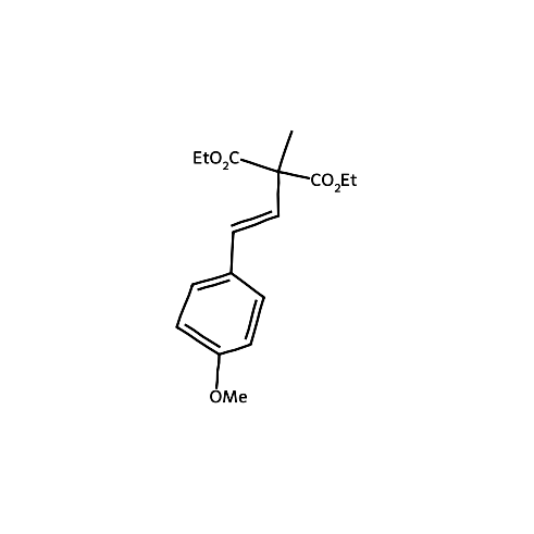 CCOC(=O)C(C)(C=Cc1ccc(OC)cc1)C(=O)OCC